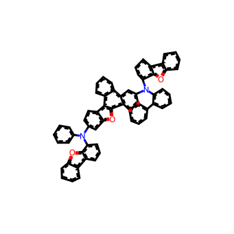 c1ccc(-c2ccccc2N(c2ccc3c(c2)c2ccccc2c2c4ccc(N(c5ccccc5)c5cccc6c5oc5ccccc56)cc4oc32)c2cccc3c2oc2ccccc23)cc1